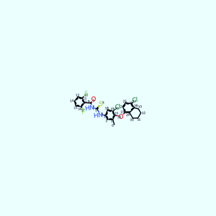 Cc1cc(NC(=S)NC(=O)c2c(F)cccc2F)cc(Cl)c1Oc1ccc(Cl)c2c1CCCC2